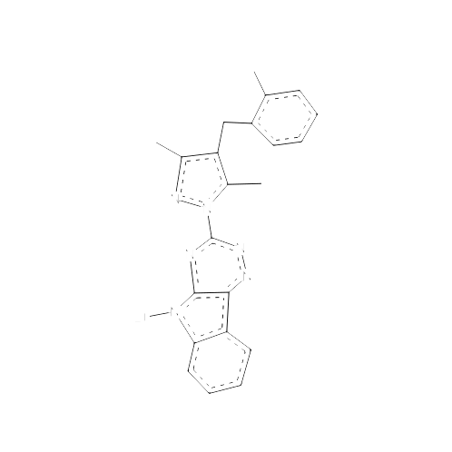 CCn1c2ccccc2c2nnc(-n3nc(C)c(Cc4ccccc4F)c3C)nc21